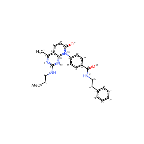 COCCNc1nc(C)c2ccc(=O)n(-c3ccc(C(=O)NCCc4ccccc4)cc3)c2n1